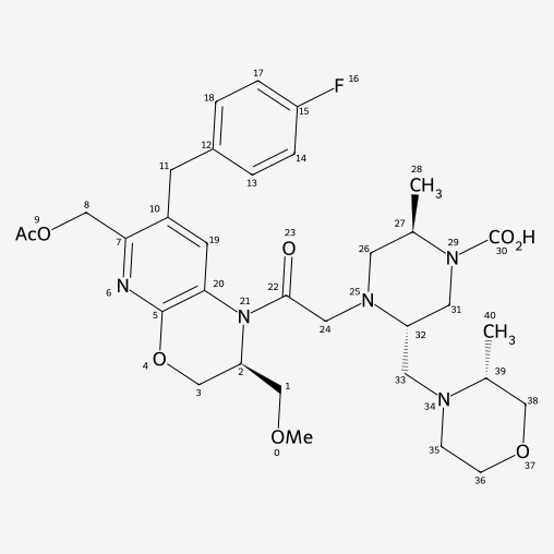 COC[C@H]1COc2nc(COC(C)=O)c(Cc3ccc(F)cc3)cc2N1C(=O)CN1C[C@@H](C)N(C(=O)O)C[C@@H]1CN1CCOC[C@H]1C